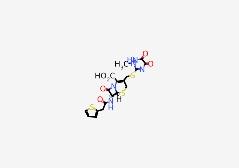 Cn1[nH]c(=O)c(=O)nc1SCC1=C(C(=O)O)N2C(=O)[C@@H](NC(=O)Cc3cccs3)[C@H]2SC1